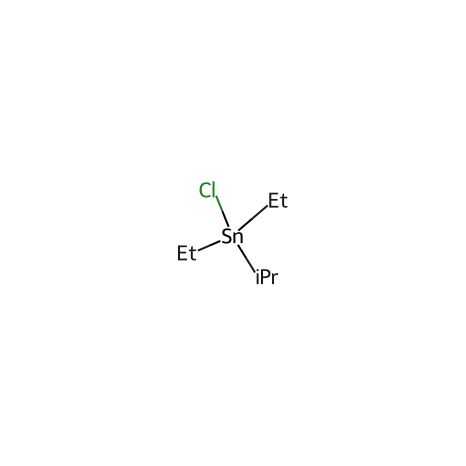 C[CH2][Sn]([Cl])([CH2]C)[CH](C)C